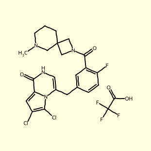 CN1CCCC2(C1)CN(C(=O)c1cc(Cc3c[nH]c(=O)c4cc(Cl)c(Cl)n34)ccc1F)C2.O=C(O)C(F)(F)F